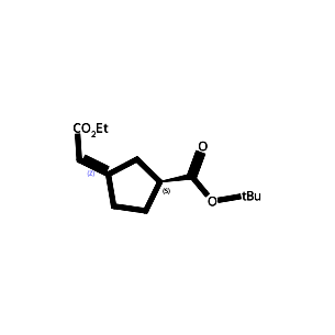 CCOC(=O)/C=C1/CC[C@H](C(=O)OC(C)(C)C)C1